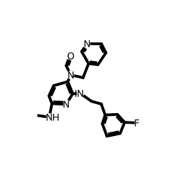 CNc1ccc(N(C=O)Cc2cccnc2)c(NCCc2cccc(F)c2)n1